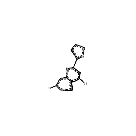 Clc1cc(-c2cccs2)nc2cc(Br)ccc12